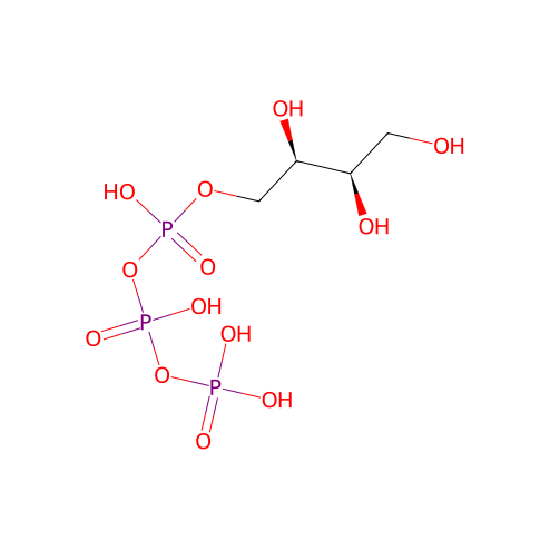 O=P(O)(O)OP(=O)(O)OP(=O)(O)OC[C@@H](O)[C@H](O)CO